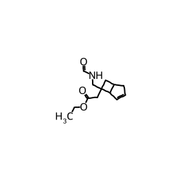 CCOC(=O)CC1(CNC=O)CC2CC=CC21